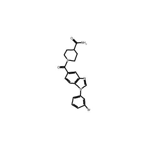 NC(=O)C1CCN(C(=O)c2ccc3c(c2)ncn3-c2cccc(Br)c2)CC1